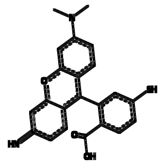 CN(C)c1ccc2c(-c3cc(S)ccc3C(=O)O)c3ccc(=N)cc-3oc2c1